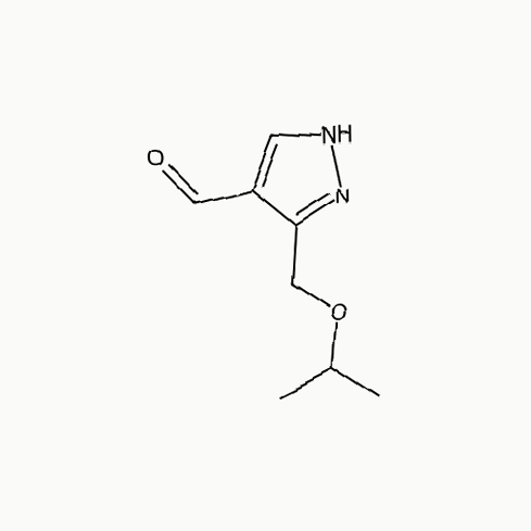 CC(C)OCc1n[nH]cc1C=O